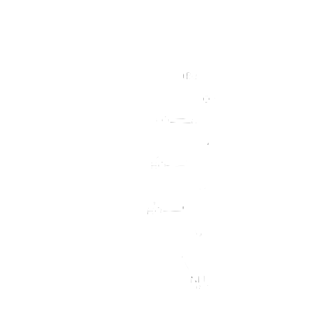 CC(C)(C)OC(=O)CC(O)CC(O)CCN